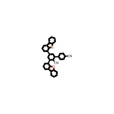 N#Cc1ccc(-c2cc(-c3cccc4c3sc3ccccc34)cc(-c3cccc4c3oc3ccccc34)c2C#N)cc1